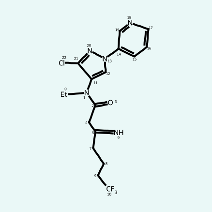 CCN(C(=O)CC(=N)CCCC(F)(F)F)c1cn(-c2cccnc2)nc1Cl